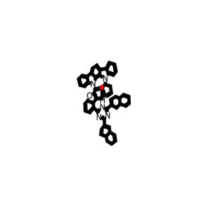 C1=CCC(n2c3ccccc3c3ccc4c5ccccc5n(-c5cccc6c5OC5C=CC=C(C7N=C(C8=CC9C=CCCC9C=C8)N=C(C8=CCC9C=CC=CC9C8)N7)C65)c4c32)C=C1